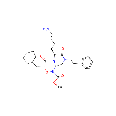 CC[C@H](C)OC(=O)N1O[C@H](CC2CCCCC2)C(=O)N2C1CN(CCc1ccccc1)C(=O)[C@@H]2CCCCN